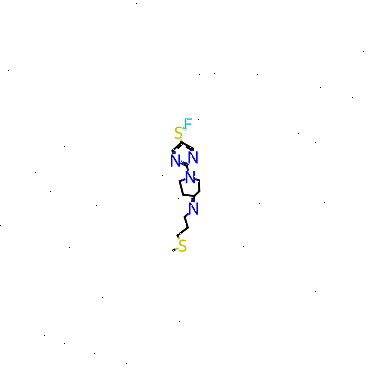 CSCCCN=C1CCN(c2ncc(SF)cn2)CC1